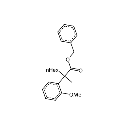 CCCCCCC(C)(C(=O)OCc1ccccc1)c1ccccc1OC